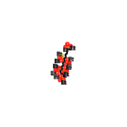 CCOP(=O)(OCC)C(C)CCCCC(C(CCCC(C(CCC(C)P(=O)(OCC)OCC)P(=O)(OCC)OCC)P(=O)(OCC)OCC)P(=O)(OCC)OCC)P(=O)(OCC)SCC